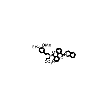 CCOc1ccc(CCN(CCC(=O)O)C(=O)c2ccccc2-c2ccccc2C(=O)N2CCc3ccccc3C2)cc1OC